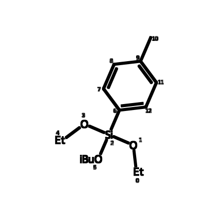 CCO[Si](OCC)(OCC(C)C)c1ccc(C)cc1